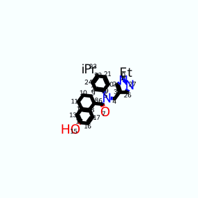 CCn1cc(CN(C(=O)C2CCCc3cc(O)ccc32)c2ccc(C(C)C)cc2)cn1